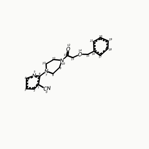 N#Cc1cccnc1N1CCN(C(=O)COCc2ccccc2)CC1